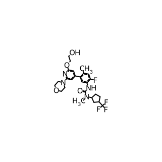 Cc1cc(F)c(NC(=O)N(C)C2CCC(C(F)(F)F)C2)cc1-c1cc(OCCO)nc(N2CCOCC2)c1